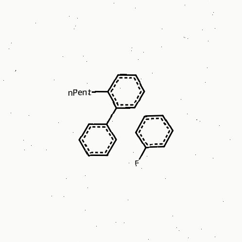 CCCCCc1ccccc1-c1ccccc1.Fc1ccccc1